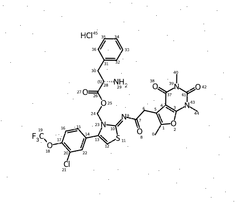 Cc1oc2c(c1CC(=O)N=c1scc(-c3ccc(OC(F)(F)F)c(Cl)c3)n1COC(=O)[C@@H](N)Cc1ccccc1)c(=O)n(C)c(=O)n2C.Cl